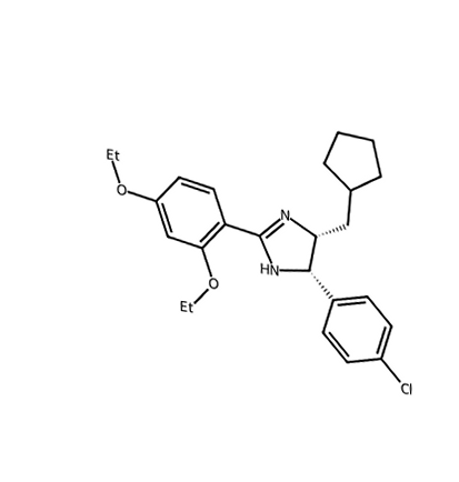 CCOc1ccc(C2=N[C@H](CC3CCCC3)[C@H](c3ccc(Cl)cc3)N2)c(OCC)c1